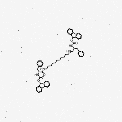 O=C(NC(CNCCCCCCCCCCCNC(=O)C(Cc1ccccc1)NC(=O)OC1c2ccccc2-c2ccccc21)Cc1ccccc1)OC1c2ccccc2-c2ccccc21